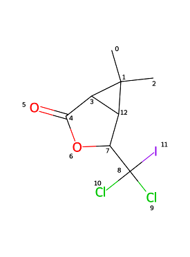 CC1(C)C2C(=O)OC(C(Cl)(Cl)I)C21